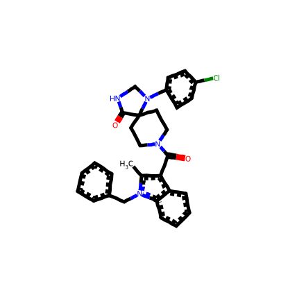 Cc1c(C(=O)N2CCC3(CC2)C(=O)NCN3c2ccc(Cl)cc2)c2ccccc2n1Cc1ccccc1